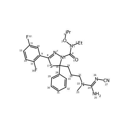 CCN(OC(C)C)C(=O)N1N=C(c2cc(F)ccc2F)SC1(CCCN(C)C(N)=NC#N)c1ccccc1